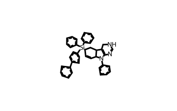 C1=CC([Si](c2ccccc2)(c2ccccc2)c2ccc(-c3ccccc3)cc2)CC2C3=C(N=CNC3)N(c3ccccc3)C12